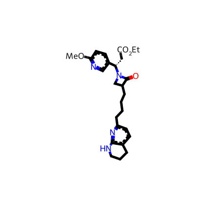 CCOC(=O)C[C@@H](c1ccc(OC)nc1)N1CC(CCCCc2ccc3c(n2)NCCC3)C1=O